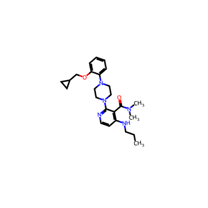 CCCNc1ccnc(N2CCN(c3ccccc3OCC3CC3)CC2)c1C(=O)N(C)C